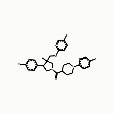 Cc1ccc(N2CCC(C(=O)N3CC(c4ccc(Cl)cc4)C(C)(COc4ccc(Cl)cn4)C3)CC2)nc1